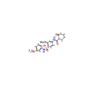 COc1cc(NC(=O)C2CCCCC2=O)ccc1S(=O)(=O)Nc1cccc(OC(F)(F)F)c1